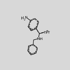 CCCC(NCc1ccccc1)c1ccc(N)cc1